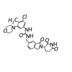 Cc1c(Cl)cc(NC(=O)NCc2ccc3c(c2)C(=O)N(C2CCC(=O)NC2=O)C3)cc1N1CCOCC1